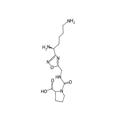 NCCCC[C@H](N)c1noc(CNC(=O)N2CCCC2C(=O)O)n1